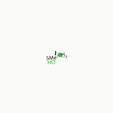 B.CSC.Cl.Cl